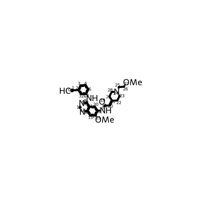 C#Cc1cccc(Nc2ncnc3cc(OC)c(NC(=O)C=C4CCN(CCOC)CC4)cc23)c1